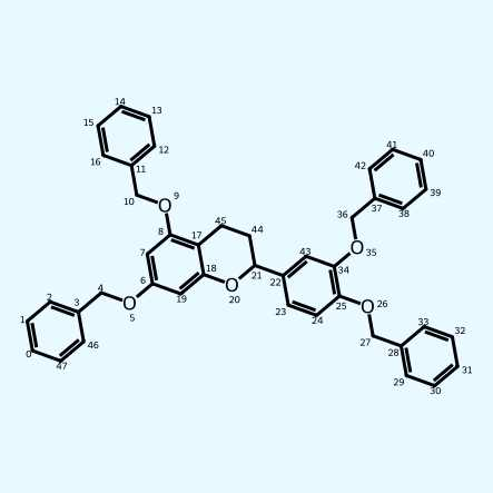 c1ccc(COc2cc(OCc3ccccc3)c3c(c2)OC(c2ccc(OCc4ccccc4)c(OCc4ccccc4)c2)CC3)cc1